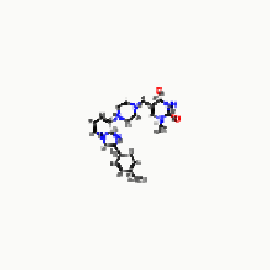 CCn1cc(CN2CCN(c3cccn4cc(-c5ccc(C(C)(C)C)cc5)nc34)CC2)c(=O)[nH]c1=O